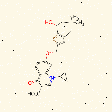 CC1(C)Cc2cc(COc3ccc4c(=O)c(C(=O)O)cn(C5CC5)c4c3)sc2C(O)C1